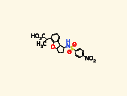 CC(C(=O)O)c1cccc2c1OC1CCC(NS(=O)(=O)c3ccc([N+](=O)[O-])cc3)C21